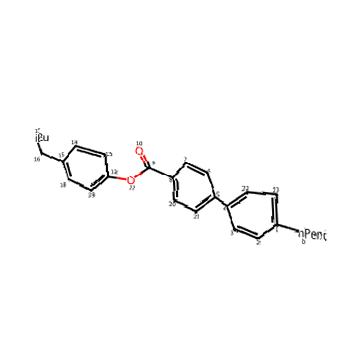 CCCCCc1ccc(-c2ccc(C(=O)Oc3ccc(CC(C)CC)cc3)cc2)cc1